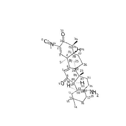 [C-]#[N+]C1=C[C@]2(C)C3=CC(=O)[C@@H]4[C@@H]5CC(C)(C)CC[C@]5(N)CC[C@@]4(C)[C@]3(C)CC[C@H]2[C@H](C)C1=O